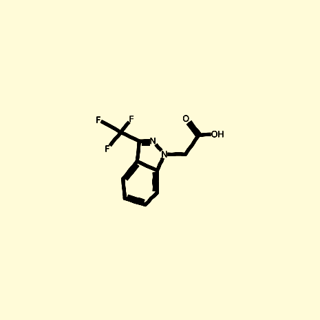 O=C(O)Cn1nc(C(F)(F)F)c2ccccc21